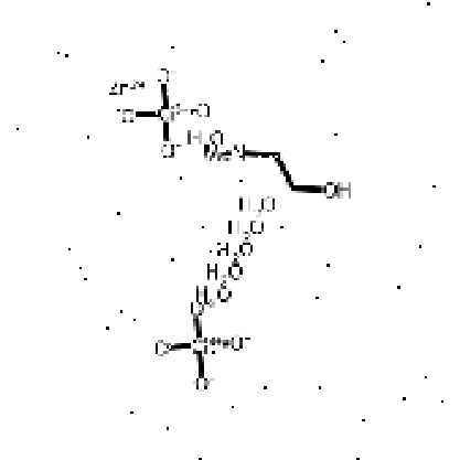 CNCCO.O.O.O.O.O.O.[O-][Cl+3]([O-])([O-])[O-].[O-][Cl+3]([O-])([O-])[O-].[Zn+2]